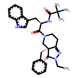 CCN1N=C2CCN(C(=O)[C@@H](Cc3c[nH]c4ccccc34)NC(=O)C(C)(C)N)C[C@]2(Cc2ccccc2)C1=O